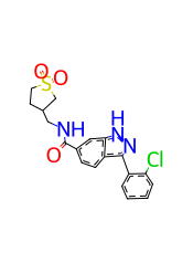 O=C(NCC1CCS(=O)(=O)C1)c1ccc2c(-c3ccccc3Cl)n[nH]c2c1